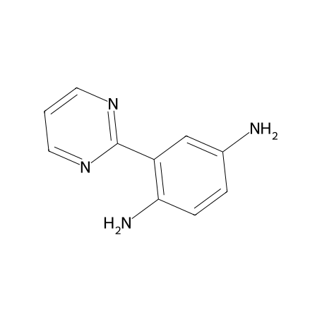 Nc1ccc(N)c(-c2ncccn2)c1